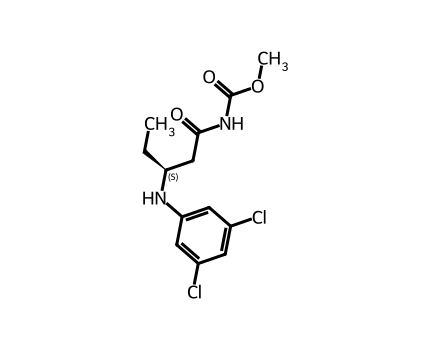 CC[C@@H](CC(=O)NC(=O)OC)Nc1cc(Cl)cc(Cl)c1